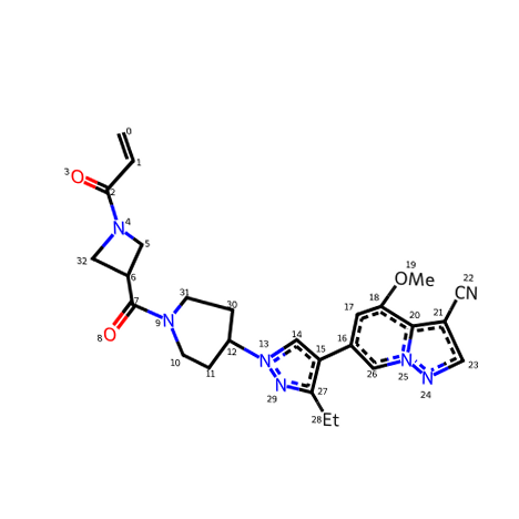 C=CC(=O)N1CC(C(=O)N2CCC(n3cc(-c4cc(OC)c5c(C#N)cnn5c4)c(CC)n3)CC2)C1